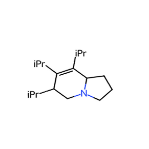 CC(C)C1=C(C(C)C)C2CCCN2CC1C(C)C